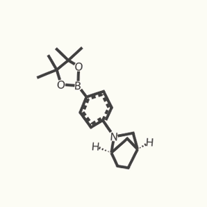 CC1(C)OB(c2ccc(N3C[C@H]4CC[C@@H]3C4)cc2)OC1(C)C